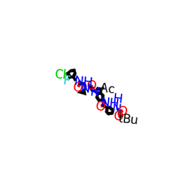 CC(=O)c1cn(CC(=O)N(CC(=O)NCc2cccc(Cl)c2F)C2CC2)c2ccc(NC(=O)c3cccc(NC(=O)OC(C)(C)C)c3)cc12